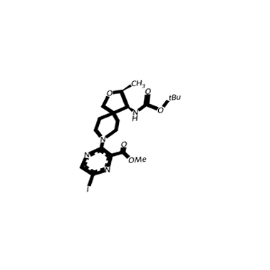 COC(=O)c1nc(I)cnc1N1CCC2(CC1)CO[C@@H](C)[C@H]2NC(=O)OC(C)(C)C